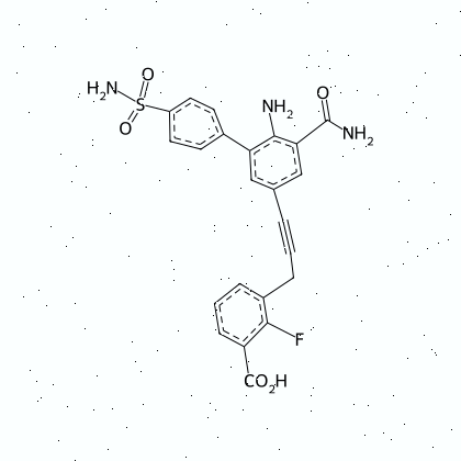 NC(=O)c1cc(C#CCc2cccc(C(=O)O)c2F)cc(-c2ccc(S(N)(=O)=O)cc2)c1N